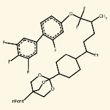 CCCCCC12COC(C3CCC(C(CC)CCC(C)C(F)(F)Oc4ccc(-c5cc(F)c(F)c(F)c5)c(F)c4)CC3)(OC1)OC2